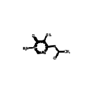 Cc1c(SC(C)Cl)ncn(N)c1=O